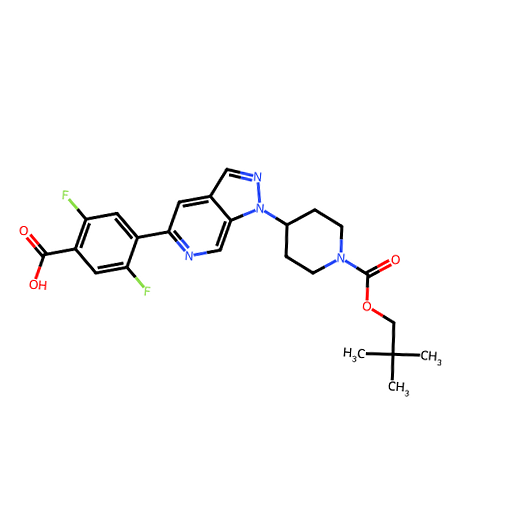 CC(C)(C)COC(=O)N1CCC(n2ncc3cc(-c4cc(F)c(C(=O)O)cc4F)ncc32)CC1